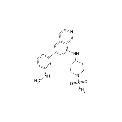 CNc1cccc(-c2cc(NC3CCN(S(C)(=O)=O)CC3)c3cnccc3c2)c1